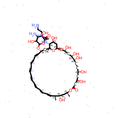 CC1OC(O[C@H]2/C=C/C=C/C=C/C=C/C=C/C=C/C=C/[C@H](C)[C@@H](O)[C@@H](C)[C@H](C)OC(=O)C[C@H](O)C[C@H](O)CC[C@@H](O)[C@H](O)C[C@H](O)C[C@]3(O)C[C@H](O)[C@@H](NC(=O)NCCN)[C@H](C2)O3)C(O)C(N)C1O